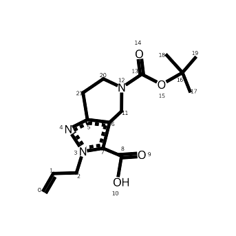 C=CCn1nc2c(c1C(=O)O)CN(C(=O)OC(C)(C)C)CC2